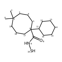 CC1(C)CCCC(C(=O)NS)(C2CCCCC2)CCC1